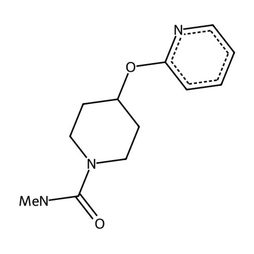 CNC(=O)N1CCC(Oc2ccccn2)CC1